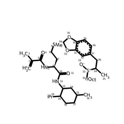 C=C(C)C(=O)N[C@@H](CCSC)C(=O)NC1CC(C)CCC1C(C)C.CCCCCCCC[S+]([O-])C(C)Cc1ccc2c(c1)OCO2